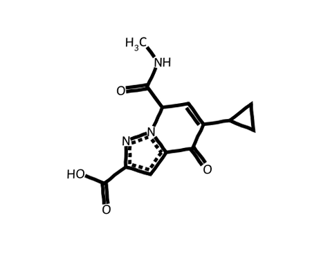 CNC(=O)C1C=C(C2CC2)C(=O)c2cc(C(=O)O)nn21